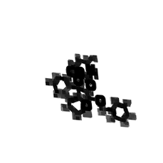 Cc1cc(C)nc(OC(C(=O)OCc2ccccc2)C(OCC(=O)O)(c2ccccc2)c2ccccc2)n1